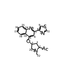 CC(=O)C1CC(Oc2cc(-c3cscn3)nc3ccccc23)CN1C